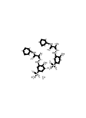 CC(=O)/C(=N/Nc1cc(S(N)(=O)=O)ccc1O)C(=O)Nc1ccccc1.CC(=O)/C(=N/Nc1cc(S(N)(=O)=O)ccc1O)C(=O)Nc1ccccc1.[Co]